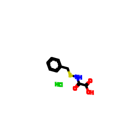 Cl.O=C(O)C(=O)NSCc1ccccc1